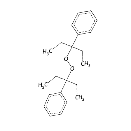 CCC(CC)(OOC(CC)(CC)c1ccccc1)c1ccccc1